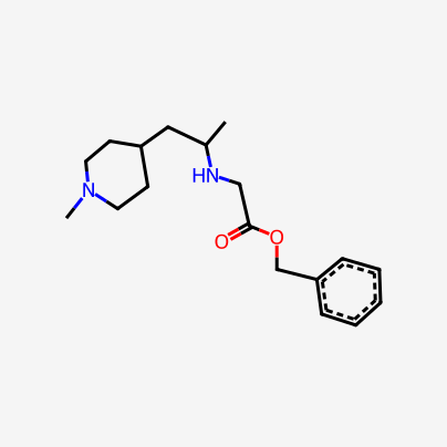 CC(CC1CCN(C)CC1)NCC(=O)OCc1ccccc1